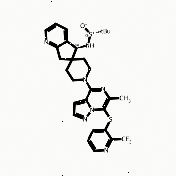 Cc1nc(N2CCC3(CC2)Cc2ncccc2[C@H]3N[S@+]([O-])C(C)(C)C)c2ccnn2c1Sc1cccnc1C(F)(F)F